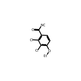 [C-]#[N+]C(=O)c1ccc(OCC)c(Cl)c1Cl